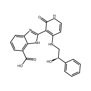 O=C(O)c1cccc2nc(-c3c(NC[C@H](O)c4ccccc4)cc[nH]c3=O)[nH]c12